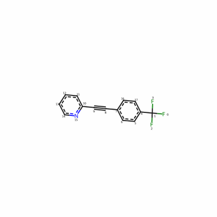 FC(F)(F)c1ccc(C#Cc2ccccn2)cc1